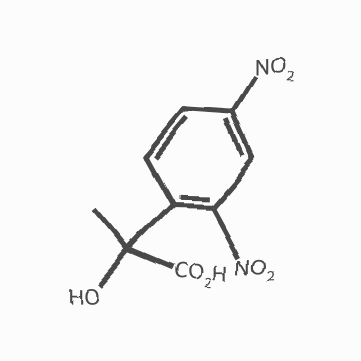 CC(O)(C(=O)O)c1ccc([N+](=O)[O-])cc1[N+](=O)[O-]